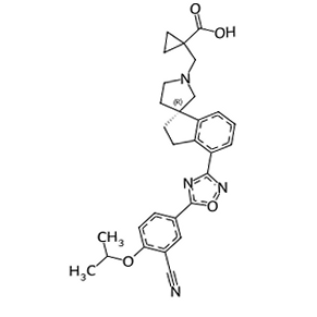 CC(C)Oc1ccc(-c2nc(-c3cccc4c3CC[C@@]43CCN(CC4(C(=O)O)CC4)C3)no2)cc1C#N